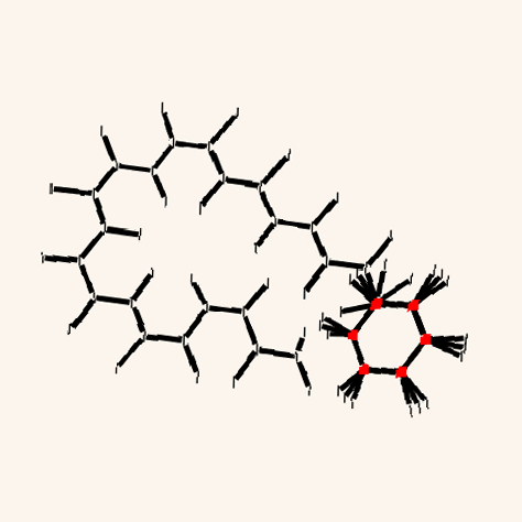 II(I)I(I)I(I)I(I)I(I)I(I)I(I)I(I)I(I)I(I)I(I)I(I)I(I)I(I)I(I)I(I)I(I)I(I)I(I)I(I)I(I)I(I)I(I)I(I)I(I)I(I)I(I)I(I)I(I)I(I)I(I)I(I)I(I)I(I)I(I)I(I)I(I)I(I)I(I)I(I)I